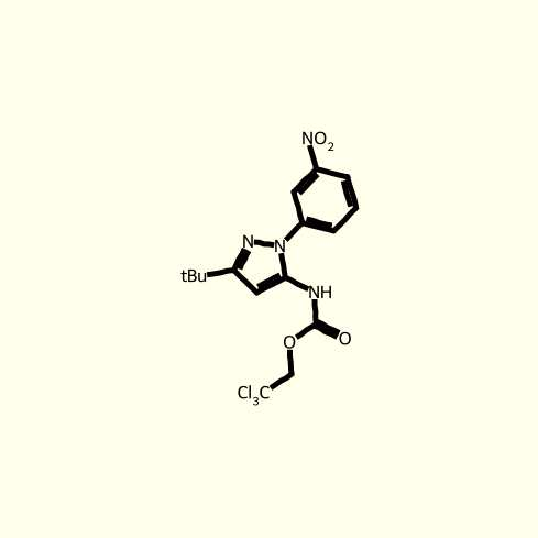 CC(C)(C)c1cc(NC(=O)OCC(Cl)(Cl)Cl)n(-c2cccc([N+](=O)[O-])c2)n1